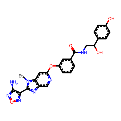 CCn1c(-c2nonc2N)nc2cnc(Oc3cccc(C(=O)NCC(O)c4ccc(O)cc4)c3)cc21